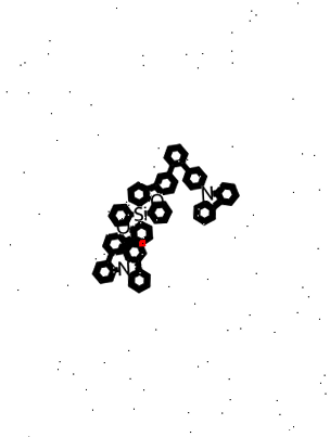 c1ccc([Si](c2ccccc2)(c2cccc3c2oc2ccc(-c4ccccc4-c4ccc(-n5c6ccccc6c6ccccc65)cc4)cc23)c2cccc3c2oc2ccc(-c4ccccc4-n4c5ccccc5c5ccccc54)cc23)cc1